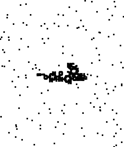 C#CCOc1cnc(C(=O)Nc2cnc(OC)c([C@@]3(C)N=C(N)S[C@](C)(C#N)C3C)c2)cn1